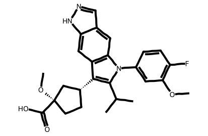 COc1cc(-n2c(C(C)C)c([C@@H]3CC[C@@](OC)(C(=O)O)C3)c3cc4[nH]ncc4cc32)ccc1F